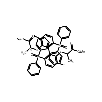 COC(=O)C(C)Oc1c(Cl)ccc(P(=O)(c2ccccc2)c2ccccc2)c1-c1c(P(=O)(c2ccccc2)c2ccccc2)ccc(Cl)c1O[C@@H](C)C(=O)OC